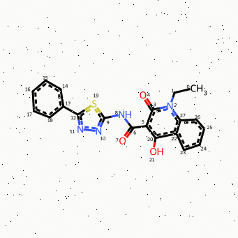 CCn1c(=O)c(C(=O)Nc2nnc(-c3ccccc3)s2)c(O)c2ccccc21